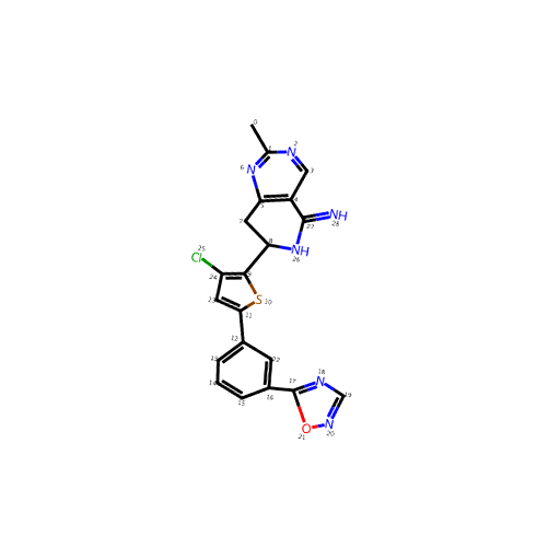 Cc1ncc2c(n1)CC(c1sc(-c3cccc(-c4ncno4)c3)cc1Cl)NC2=N